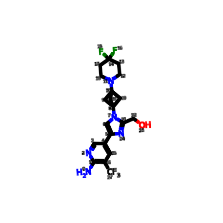 Nc1ncc(-c2cn(C34CC(N5CCC(F)(F)CC5)(C3)C4)c(CO)n2)cc1C(F)(F)F